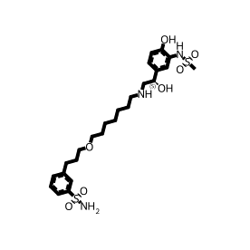 CS(=O)(=O)Nc1cc([C@H](O)CNCCCCCCCOCCCc2cccc(S(N)(=O)=O)c2)ccc1O